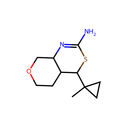 CC1(C2SC(N)=NC3COCCC32)CC1